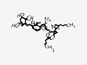 C=C1/C(=C\C=C2/CCC[C@]3(C)[C@@H]([C@H](C)CC[C@@H](OC(=O)CCCC)C4(c5ncc(CCCC)s5)CC4)CC[C@@H]23)C[C@@H](O)C[C@@H]1O